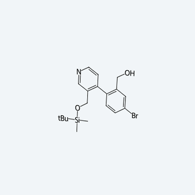 CC(C)(C)[Si](C)(C)OCc1cnccc1-c1ccc(Br)cc1CO